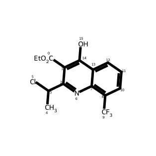 CCOC(=O)c1c(C(C)Cl)nc2c(C(F)(F)F)cccc2c1O